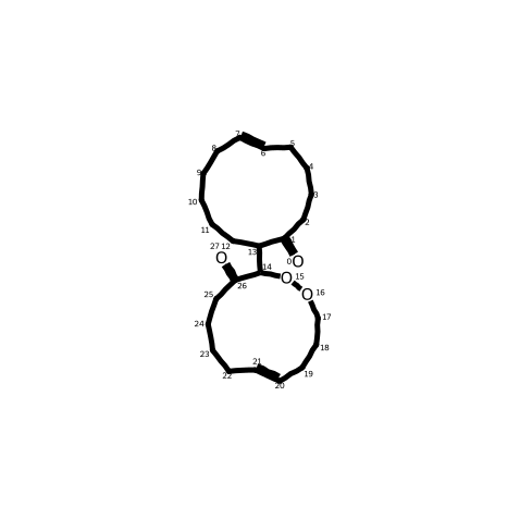 O=C1CCCC/C=C/CCCCCC1C1OOCCC/C=C/CCCCC1=O